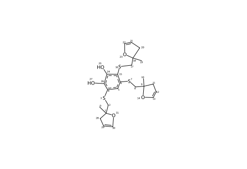 CC1(CSc2cc(SCC3(C)CC=CO3)c(SCC3(C)CC=CO3)c(O)c2O)CC=CO1